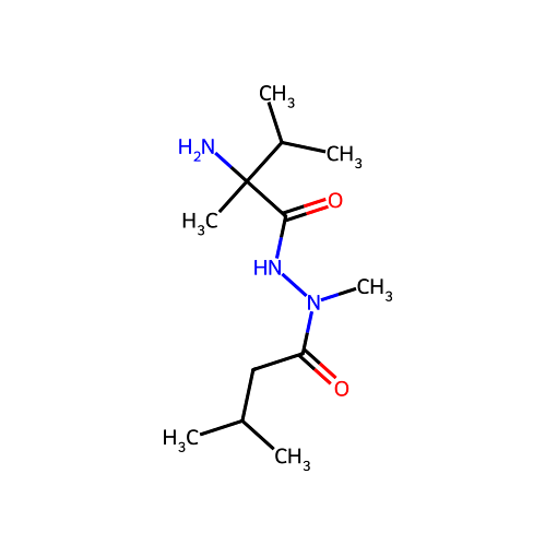 CC(C)CC(=O)N(C)NC(=O)C(C)(N)C(C)C